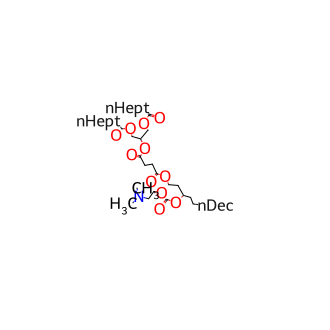 CCCCCCCCCCCCC(CCOC(=O)CCC(=O)OC(COC(=O)CCCCCCC)COC(=O)CCCCCCC)OC(=O)OCCN(C)C